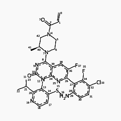 C=CC(=O)N1CCN(c2nc(=O)n(-c3c(SC)ccnc3C(C)C)c3nc(-c4c(N)ccc(Cl)c4F)c(F)cc23)[C@@H](C)C1